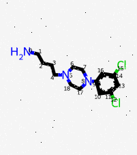 NCCCCN1CCN(c2cc(Cl)cc(Cl)c2)CC1